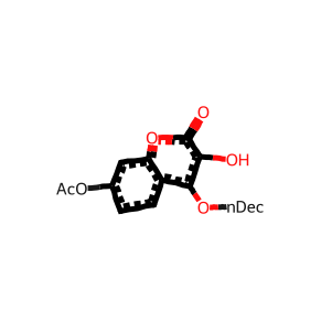 CCCCCCCCCCOc1c(O)c(=O)oc2cc(OC(C)=O)ccc12